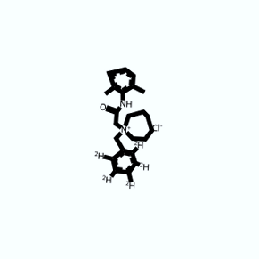 [2H]c1c([2H])c([2H])c(C[N+]2(CC(=O)Nc3c(C)cccc3C)CCCCCC2)c([2H])c1[2H].[Cl-]